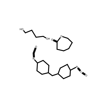 O=C1CCCCCO1.O=C=NC1CCC(CC2CCC(N=C=O)CC2)CC1.OCCCCO